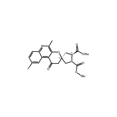 COC(=O)[C@@H]1C[C@@]2(CC(=O)c3c(c(C)nc4ccc(F)cc34)O2)CN1C(=O)OC(C)(C)C